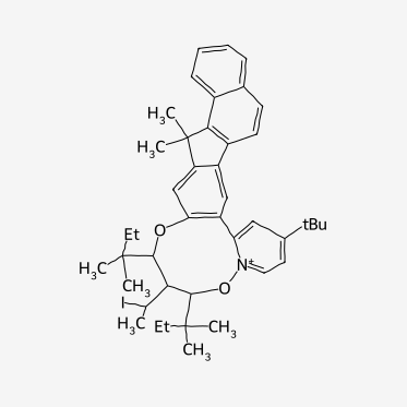 CCC(C)(C)C1Oc2cc3c(cc2-c2cc(C(C)(C)C)cc[n+]2OC(C(C)(C)CC)C1C(C)I)-c1ccc2ccccc2c1C3(C)C